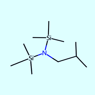 CC(C)CN([Si](C)(C)C)[Si](C)(C)C